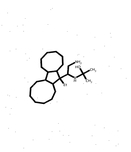 CCC1(C(BC(C)(C)O)CN)C2CCCCCCCC2C2CCCCCCC21